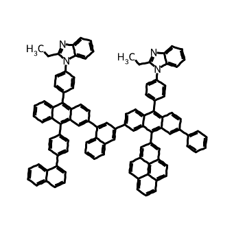 CCc1nc2ccccc2n1-c1ccc(-c2c3ccc(-c4ccccc4)cc3c(-c3cc4ccc5cccc6ccc(c3)c4c56)c3cc(-c4cc(-c5ccc6c(-c7ccc(-n8c(CC)nc9ccccc98)cc7)c7ccccc7c(-c7ccc(-c8cccc9ccccc89)cc7)c6c5)c5ccccc5c4)ccc23)cc1